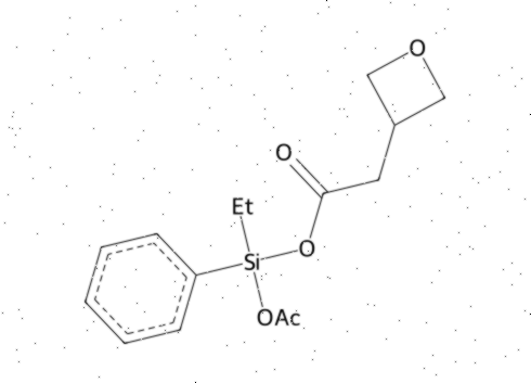 CC[Si](OC(C)=O)(OC(=O)CC1COC1)c1ccccc1